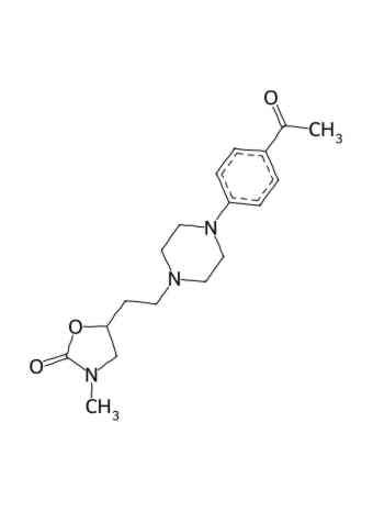 CC(=O)c1ccc(N2CCN(CCC3CN(C)C(=O)O3)CC2)cc1